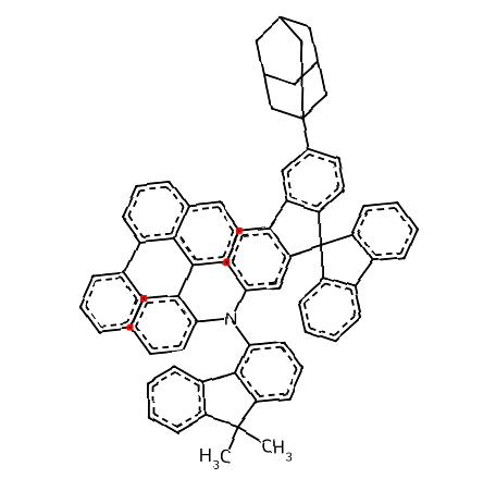 CC1(C)c2ccccc2-c2c(N(c3ccc4c(c3)C3(c5ccccc5-c5ccccc53)c3ccc(C56CC7CC(CC(C7)C5)C6)cc3-4)c3ccccc3-c3cccc4cccc(-c5ccccc5)c34)cccc21